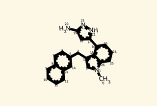 Cn1cc(Cc2ccc3ccccc3c2)c2c(-c3cc(N)n[nH]3)cccc21